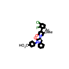 COc1cn([C@@H](Cc2ccccc2)C(=O)Nc2ccc(C(=O)O)cc2)c(=O)cc1-c1c(C(C)=O)ccc(Cl)c1F